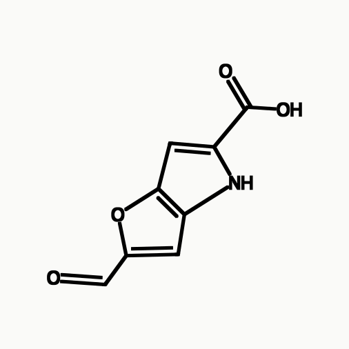 O=Cc1cc2[nH]c(C(=O)O)cc2o1